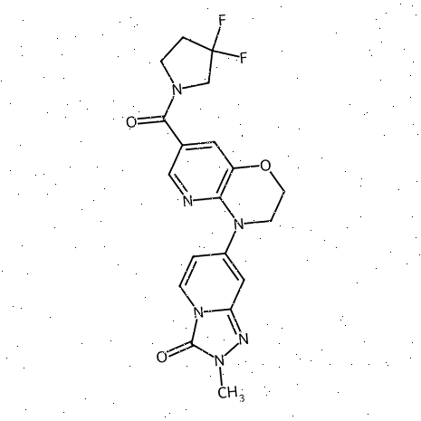 Cn1nc2cc(N3CCOc4cc(C(=O)N5CCC(F)(F)C5)cnc43)ccn2c1=O